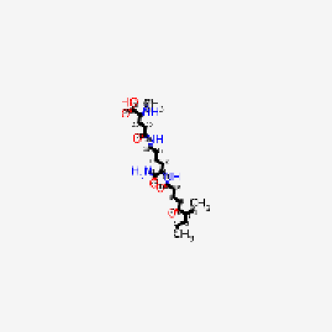 CCCC(CC)C(=O)CCCC(=O)NC(CCCCNC(=O)CCC(NC)C(=O)O)C(N)=O